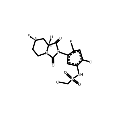 O=C1[C@H]2C[C@H](F)CCN2C(=O)N1c1cc(NS(=O)(=O)CCl)c(Cl)cc1F